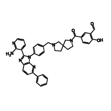 Nc1ncccc1-c1nc2ccc(-c3ccccc3)nc2n1-c1ccc(CN2CCC3(CCN(C(=O)c4ccc(O)c(C=O)c4)C3)C2)cc1